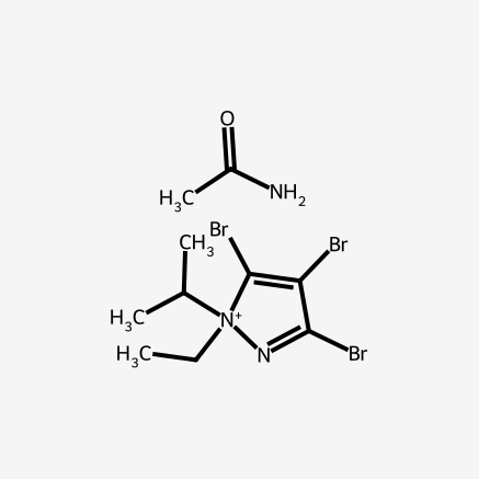 CC(N)=O.CC[N+]1(C(C)C)N=C(Br)C(Br)=C1Br